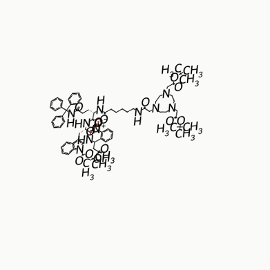 CC(C)(C)OC(=O)CN1CCN(CC(=O)NCCCCCC(=O)N[C@@H](CCC(=O)NC(c2ccccc2)(c2ccccc2)c2ccccc2)C(=O)N[C@@H](Cc2cn(C(=O)OC(C)(C)C)c3ccccc23)C(=O)NC(CC(=O)O)c2ccccc2[N+](=O)[O-])CCN(CC(=O)OC(C)(C)C)CC1